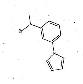 CC(Br)c1cccc(-n2cccc2)c1